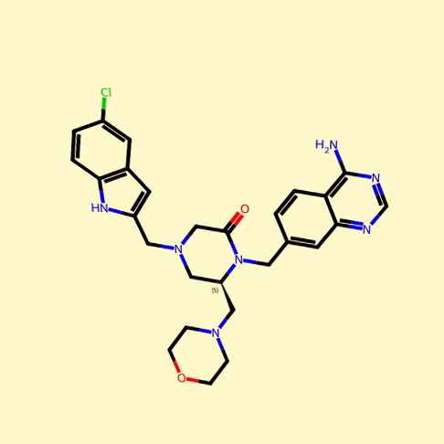 Nc1ncnc2cc(CN3C(=O)CN(Cc4cc5cc(Cl)ccc5[nH]4)C[C@@H]3CN3CCOCC3)ccc12